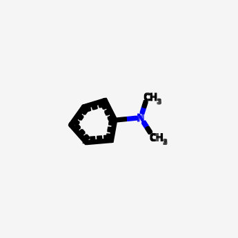 CN(C)c1c[c]ccc1